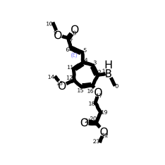 CBC1=CC(/C=C/C(=O)OC)=CC(OC)C=C1OCCC(=O)OC